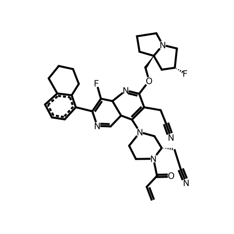 C=CC(=O)N1CCN(C2=C(CC#N)C(OC[C@@]34CCCN3C[C@H](F)C4)=NC3C(F)=C(c4cccc5c4CCCC5)N=CC23)C[C@@H]1CC#N